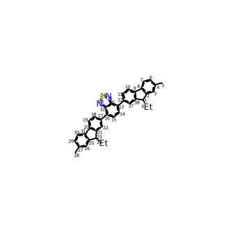 CCC1c2cc(C)ccc2-c2ccc(-c3ccc(-c4ccc5c(c4)C(CC)c4cc(C)ccc4-5)c4nsnc34)cc21